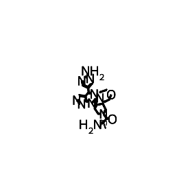 C[C@@H](N)C(=O)N1CCC(C2(N3CCOCC3)N=C3N=NC=C3C(c3cnc(N)nc3)=N2)CC1